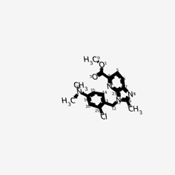 COC(=O)c1ccc2nc(C)n(Cc3ccc(N(C)C)cc3Cl)c2n1